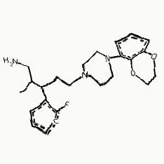 CC(CN)C(CCN1CCN(c2cccc3c2OCCO3)CC1)c1ccccc1F